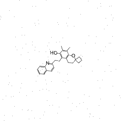 Cc1c(C)c2c(c(CCc3ccc4ccccc4n3)c1O)CCC1(CCC1)O2